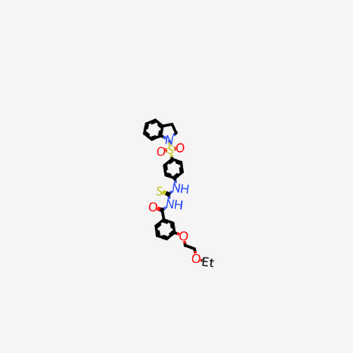 CCOCCOc1cccc(C(=O)NC(=S)Nc2ccc(S(=O)(=O)N3CCc4ccccc43)cc2)c1